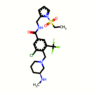 CCS(=O)(=O)n1cccc1CNC(=O)c1cc(Cl)c(CN2CCC[C@H](NC)C2)c(C(F)(F)F)c1